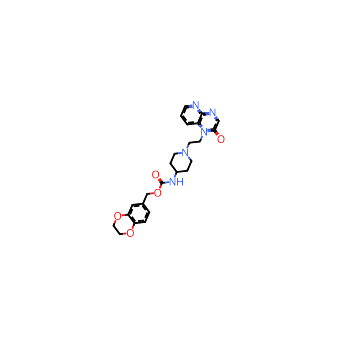 O=C(NC1CCN(CCn2c(=O)cnc3ncccc32)CC1)OCc1ccc2c(c1)OCCO2